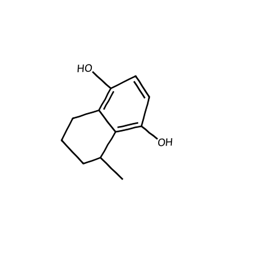 CC1CCCc2c(O)ccc(O)c21